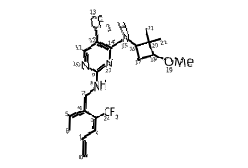 C=C/C=C(\C(=C/C)CNc1ncc(C(F)(F)F)c(NC2CC(OC)C2(C)C)n1)C(F)(F)F